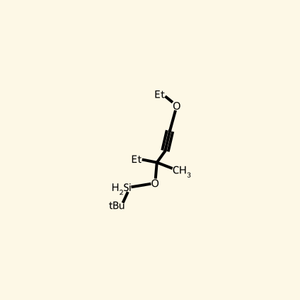 CCOC#CC(C)(CC)O[SiH2]C(C)(C)C